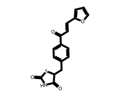 O=C1NC(=O)C(Cc2ccc(C(=O)C=Cc3ccco3)cc2)S1